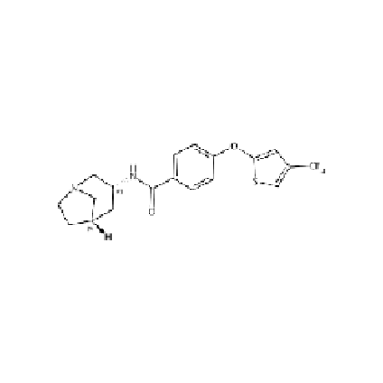 O=C(N[C@@H]1C[C@@H]2CCN(C2)C1)c1ccc(Oc2cc(C(F)(F)F)cs2)cc1